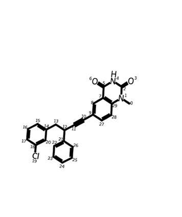 Cn1c(=O)[nH]c(=O)c2cc(C#CC(Cc3cccc(Cl)c3)c3ccccc3)ccc21